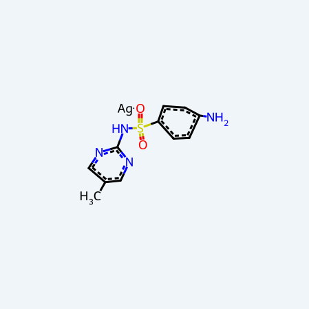 Cc1cnc(NS(=O)(=O)c2ccc(N)cc2)nc1.[Ag]